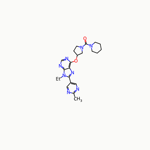 CCn1c(-c2cnc(C)nc2)nc2c(OC3CCN(C(=O)N4CCCCC4)C3)ncnc21